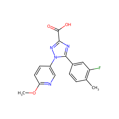 COc1ccc(-n2nc(C(=O)O)nc2-c2ccc(C)c(F)c2)cn1